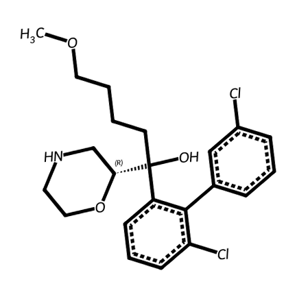 COCCCCC(O)(c1cccc(Cl)c1-c1cccc(Cl)c1)[C@H]1CNCCO1